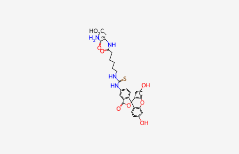 NC(=O)[C@H](CC(=O)O)NC(=O)CCCCCNC(=S)Nc1ccc2c(c1)C(=O)OC21c2ccc(O)cc2Oc2cc(O)ccc21